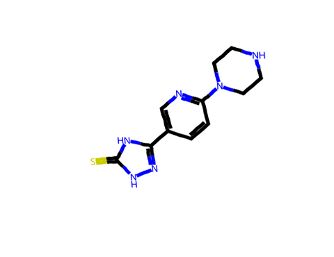 S=c1[nH]nc(-c2ccc(N3CCNCC3)nc2)[nH]1